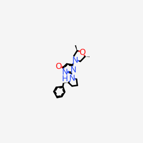 C[C@@H]1CN(c2cc(=O)[nH]c(N3CCC[C@@H]3Cc3ccccc3)n2)C[C@@H](C)O1